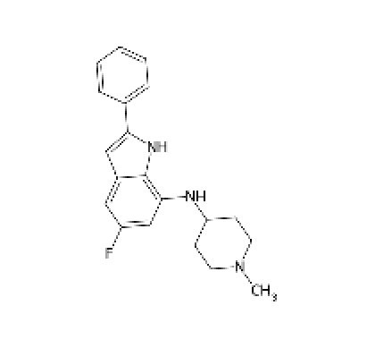 CN1CCC(Nc2cc(F)cc3cc(-c4ccccc4)[nH]c23)CC1